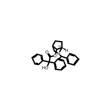 CC(c1ccccc1)N1CC2CC[C@H]1C2OC(=O)C(O)(c1ccccc1)c1ccccc1